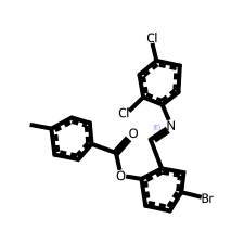 Cc1ccc(C(=O)Oc2ccc(Br)cc2/C=N/c2ccc(Cl)cc2Cl)cc1